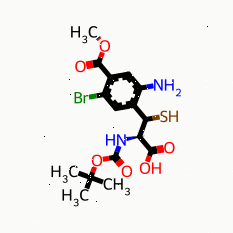 COC(=O)c1cc(N)c(C(S)[C@H](NC(=O)OC(C)(C)C)C(=O)O)cc1Br